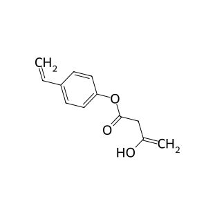 C=Cc1ccc(OC(=O)CC(=C)O)cc1